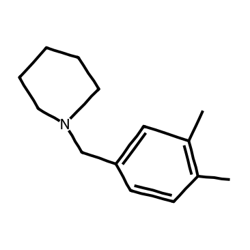 Cc1ccc(CN2CCCCC2)cc1C